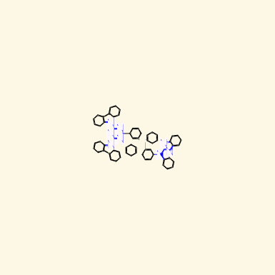 c1ccc([Si](c2ccccc2)(c2cccc(-c3nc(-n4c5ccccc5c5ccccc54)nc(-n4c5ccccc5c5ccccc54)n3)c2)c2cccc(-n3c4ccccc4n4c5ccccc5nc34)c2)cc1